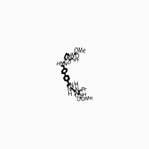 COC(=O)NC(=O)[C@@H](N[C@@H](c1nc(-c2ccc(-c3ccc(-c4c[nH]c([C@@H]5CCCN5C(=O)[C@@H](NC(=O)OC)C(C)C)n4)cc3)cc2)c[nH]1)C(C)C)C(C)C